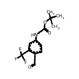 CC(C)(C)OC(=O)Nc1ccc(C=O)c(C(F)(F)F)c1